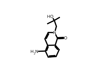 CC(C)(O)Cn1ccc2c(N)cccc2c1=O